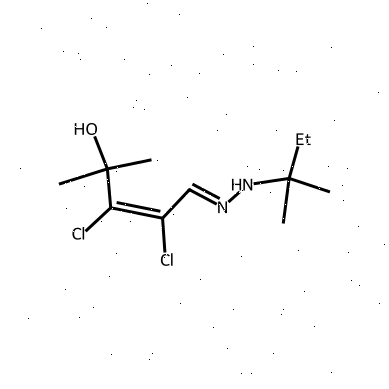 CCC(C)(C)N/N=C/C(Cl)=C(/Cl)C(C)(C)O